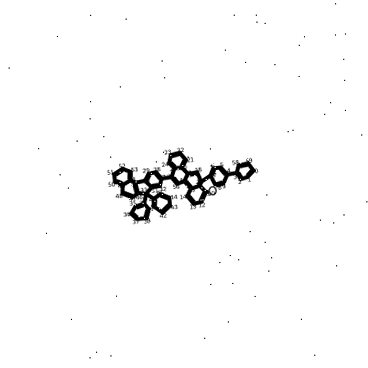 c1ccc(-c2ccc3c(c2)Oc2cccc4c2c-3cc2c3ccccc3c(-c3ccc5c(c3)C(c3ccccc3)(c3ccccc3)c3ccc6ccccc6c3-5)cc42)cc1